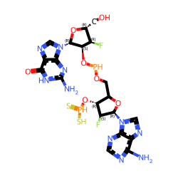 Nc1nc2c(ncn2[C@@H]2O[C@H](CO)[C@@H](F)[C@H]2OPOCC2O[C@@H](n3cnc4c(N)ncnc43)[C@@H](F)[C@@H]2O[PH](=S)S)c(=O)[nH]1